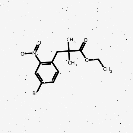 CCOC(=O)C(C)(C)Cc1ccc(Br)cc1[N+](=O)[O-]